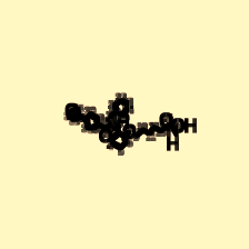 [2H]C(c1ccccc1OCCCCCC(=O)NO)N(Cc1ccccc1)C(=O)c1ccc(-c2ccoc2)cc1